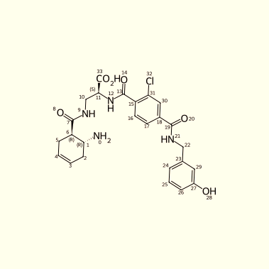 N[C@@H]1CC=CC[C@H]1C(=O)NC[C@H](NC(=O)c1ccc(C(=O)NCc2cccc(O)c2)cc1Cl)C(=O)O